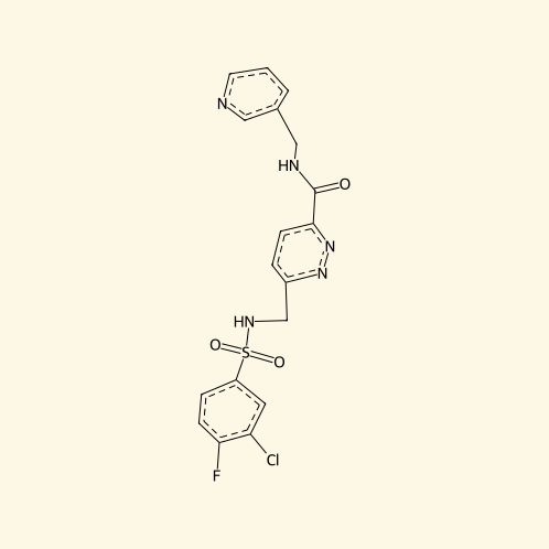 O=C(NCc1cccnc1)c1ccc(CNS(=O)(=O)c2ccc(F)c(Cl)c2)nn1